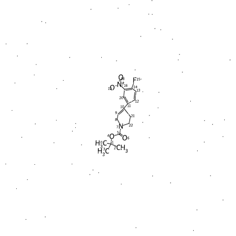 CC(C)(C)OC(=O)N1CC=C(c2ccc(F)c([N+](=O)[O-])c2)CC1